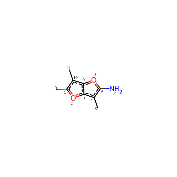 Cc1oc2c(C)c(N)oc2c1C